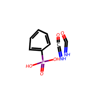 N=C=O.N=C=O.O=P(O)(O)c1ccccc1